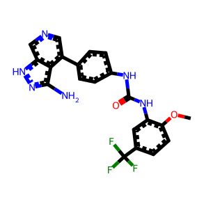 COc1ccc(C(F)(F)F)cc1NC(=O)Nc1ccc(-c2cncc3[nH]nc(N)c23)cc1